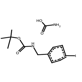 CC(C)(C)OC(=O)NCc1ccc(I)cc1.NC(=O)O